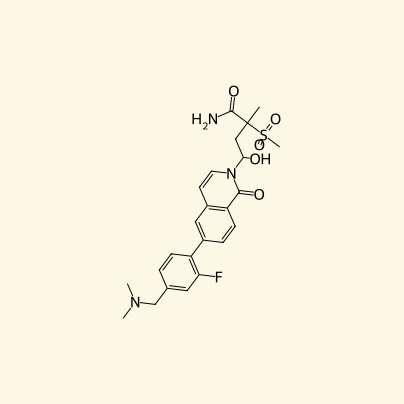 CN(C)Cc1ccc(-c2ccc3c(=O)n(C(O)CC(C)(C(N)=O)S(C)(=O)=O)ccc3c2)c(F)c1